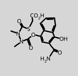 CN(C(=O)Oc1cc(C(N)=O)c(O)c2ccccc12)N(C)C(=O)SCC(=O)O